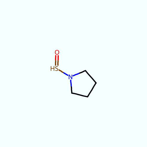 O=[SH]N1CCCC1